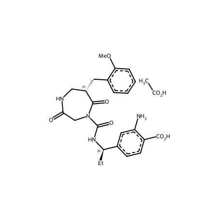 CC(=O)O.CC[C@@H](NC(=O)N1CC(=O)NC[C@H](Cc2ccccc2OC)C1=O)c1ccc(C(=O)O)c(N)c1